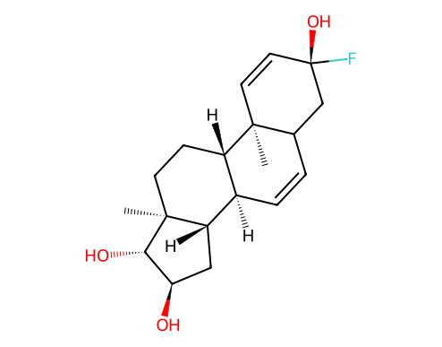 C[C@]12CC[C@H]3[C@@H](C=CC4C[C@@](O)(F)C=C[C@@]43C)[C@@H]1C[C@@H](O)[C@@H]2O